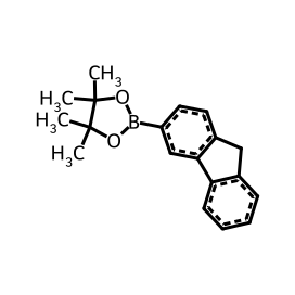 CC1(C)OB(c2ccc3c(c2)-c2ccccc2C3)OC1(C)C